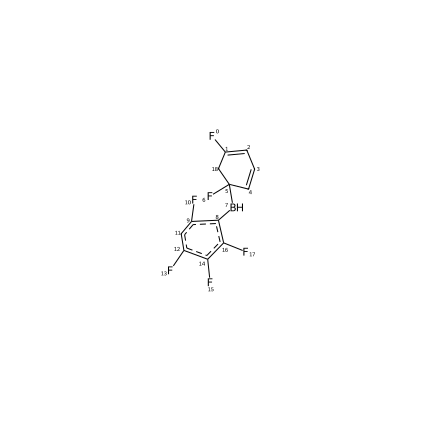 FC1=CC=CC(F)(Bc2c(F)cc(F)c(F)c2F)C1